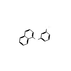 Oc1cccc(Sc2cccc3ccccc23)c1